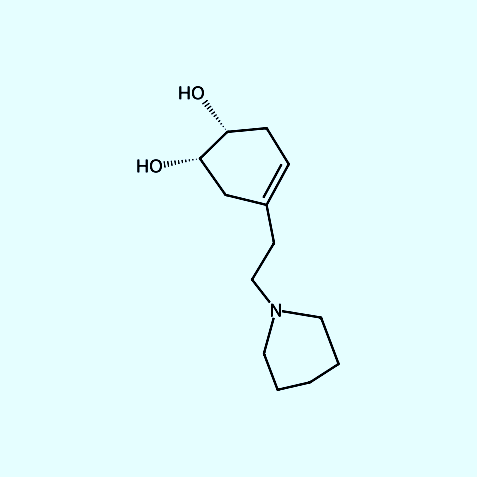 O[C@@H]1CC=C(CCN2CCCCC2)C[C@@H]1O